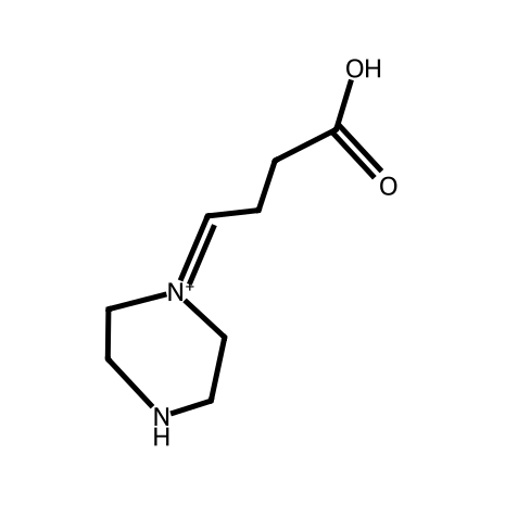 O=C(O)CCC=[N+]1CCNCC1